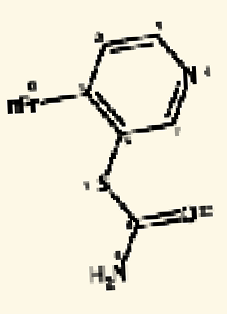 CCCc1ccncc1SC(N)=O